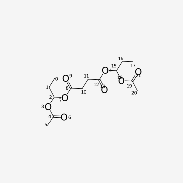 CCC(OC(C)=O)OC(=O)CCC(=O)OC(CC)OC(C)=O